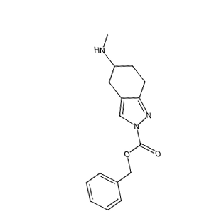 CNC1CCc2nn(C(=O)OCc3ccccc3)cc2C1